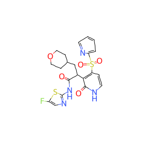 O=C(Nc1ncc(F)s1)C(CC1CCOCC1)c1c(S(=O)(=O)c2ccccn2)cc[nH]c1=O